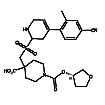 Cc1cc(C#N)ccc1C1=CCNC(S(=O)(=O)CC2(C(=O)O)CCN(C(=O)O[C@H]3CCOC3)CC2)C1